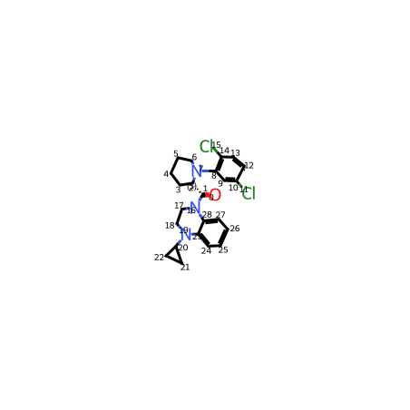 O=C([C@@H]1CCCCN1c1cc(Cl)[c]cc1Cl)N1CCN(C2CC2)c2ccccc21